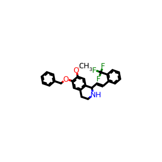 COc1cc2c(cc1OCc1ccccc1)CCNC2C=Cc1ccccc1C(F)(F)F